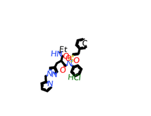 CCNC(=O)C(Cc1cnn(Cc2ccccn2)c1)C(=O)N(c1ccccc1)S(=O)(=O)C=Cc1ccccc1.Cl